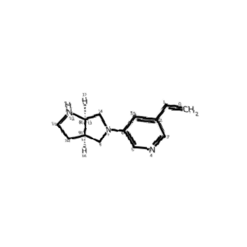 C=Cc1cncc(N2C[C@H]3CCN[C@H]3C2)c1